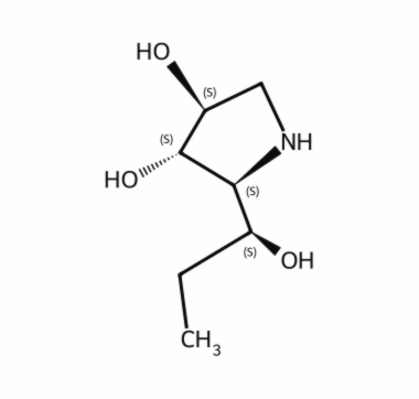 CC[C@H](O)[C@@H]1NC[C@H](O)[C@H]1O